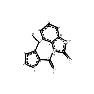 CCc1ccsc1C(=O)n1c(=O)sc2ccccc21